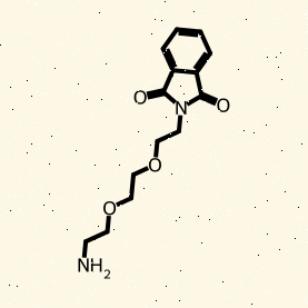 NCCOCCOCCN1C(=O)c2ccccc2C1=O